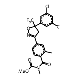 COC(=O)N(C)C(=O)c1ccc(C2=NOC(c3cc(Cl)cc(Cl)c3)(C(F)(F)F)C2)cc1C